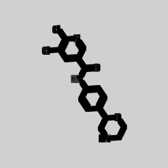 O=C(Nc1ccc(C2CNCCO2)cc1)c1cnc(Cl)c(Cl)c1